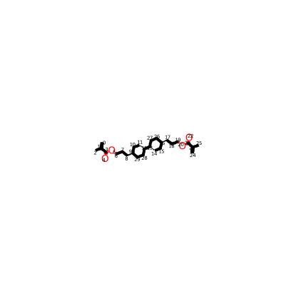 C=C(C)C(=O)OCCC[C@H]1CC[C@H]([C@H]2CC[C@H](CCCOC(=O)C(=C)C)CC2)CC1